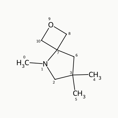 CN1CC(C)(C)CC12COC2